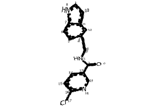 O=C(NCc1ccc2[nH]ccc2c1)c1ccc(Cl)nc1